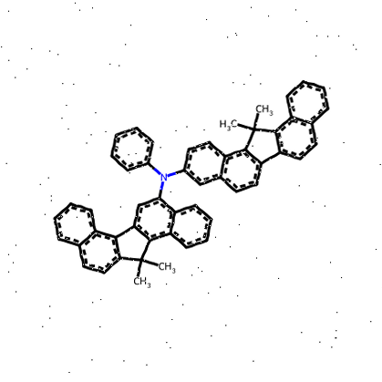 CC1(C)c2c(ccc3ccccc23)-c2ccc3cc(N(c4ccccc4)c4cc5c(c6ccccc46)C(C)(C)c4ccc6ccccc6c4-5)ccc3c21